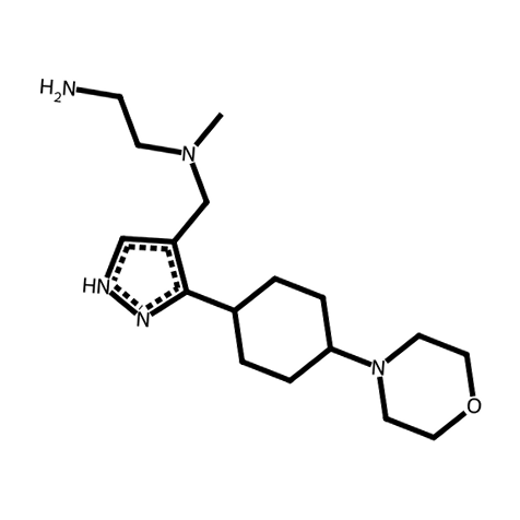 CN(CCN)Cc1c[nH]nc1C1CCC(N2CCOCC2)CC1